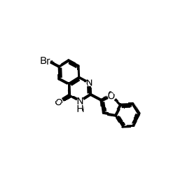 O=c1[nH]c(-c2cc3ccccc3o2)nc2ccc(Br)cc12